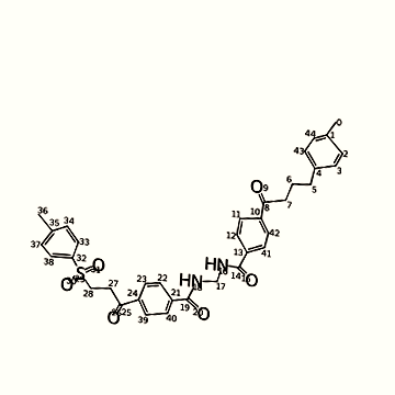 Cc1ccc(CCCC(=O)c2ccc(C(=O)NCNC(=O)c3ccc(C(=O)CCS(=O)(=O)c4ccc(C)cc4)cc3)cc2)cc1